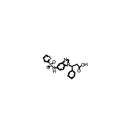 O=C(O)CC(c1ccccc1)n1cnc2cc(NS(=O)(=O)c3cccs3)ccc21